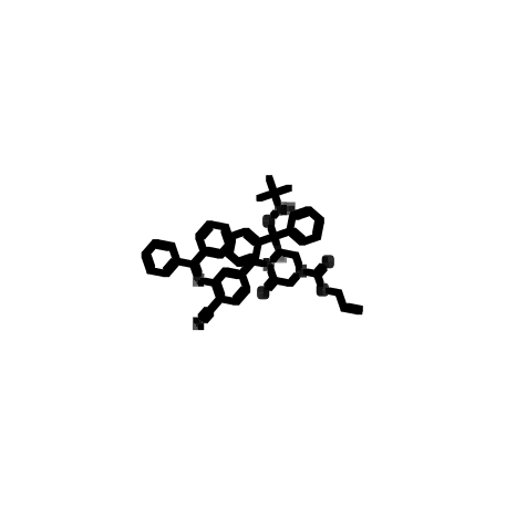 C=CCOC(=O)N1CC(=O)N(Cc2ccc(C#N)c(N=C(c3ccccc3)c3ccccc3)c2)[C@@H](C(O[SiH2]C(C)(C)C)(c2ccccc2)c2ccccc2)C1